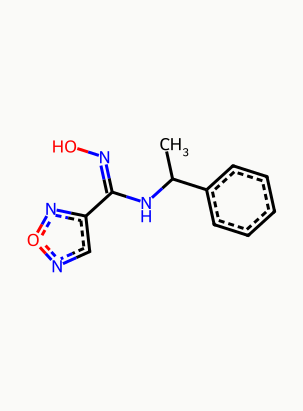 CC(NC(=NO)c1cnon1)c1ccccc1